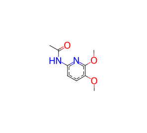 COc1ccc(NC(C)=O)nc1OC